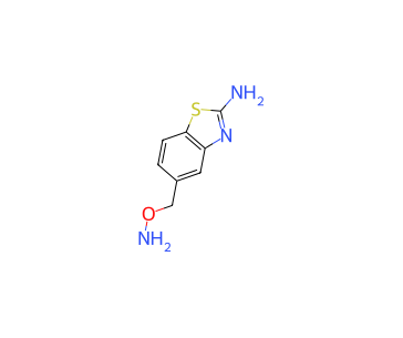 NOCc1ccc2sc(N)nc2c1